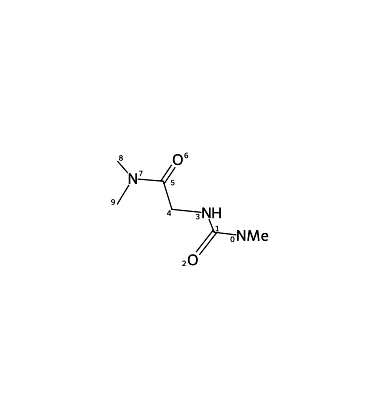 CNC(=O)NCC(=O)N(C)C